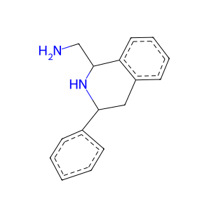 NCC1NC(c2ccccc2)Cc2ccccc21